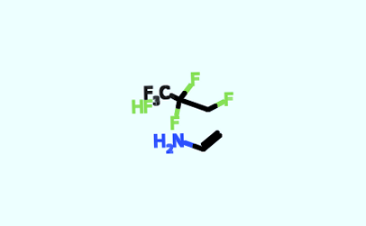 C=CN.F.FCC(F)(F)C(F)(F)F